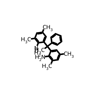 Cc1cc(C)c(N)c(C(C)(c2ccccc2)c2cc(C)cc(C)c2N)c1